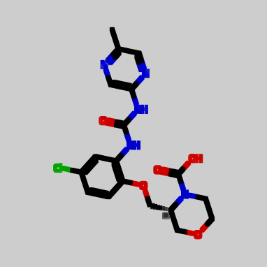 Cc1cnc(NC(=O)Nc2cc(Cl)ccc2OC[C@H]2COCCN2C(=O)O)cn1